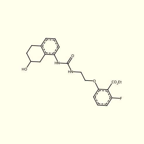 CCOC(=O)c1c(F)cccc1OCCNC(=O)Nc1cccc2c1CC(O)CC2